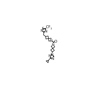 O=C(N1CC2(CC(Cc3nsc(C(F)(F)F)n3)C2)C1)N1CC2(CC(n3cnc(C4CC4)n3)C2)C1